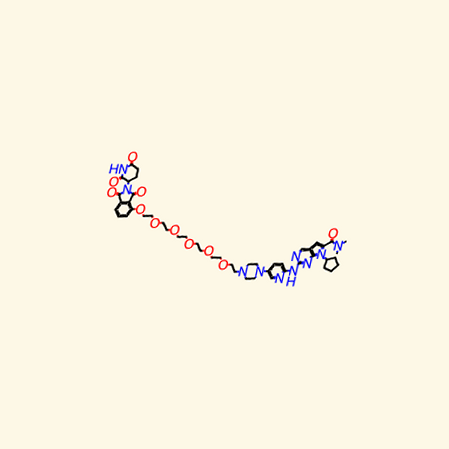 CN(C)C(=O)c1cc2cnc(Nc3ccc(N4CCN(CCOCCOCCOCCOCCOCCOc5cccc6c5C(=O)N(C5CCC(=O)NC5=O)C6=O)CC4)cn3)nc2n1C1CCCC1